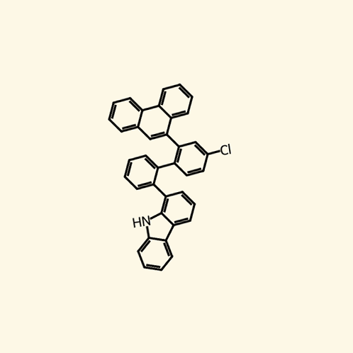 Clc1ccc(-c2ccccc2-c2cccc3c2[nH]c2ccccc23)c(-c2cc3ccccc3c3ccccc23)c1